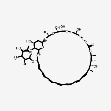 CC1OC(O[C@H]2/C=C/C=C/C=C/C=C/C=C/C=C/C=C/[C@H](C)[C@@H](O)[C@@H](C)[C@H](C)OC(=O)CCC[C@H](O)CC[C@@H](O)[C@H](O)C[C@H](O)C[C@]3(O)C[C@H](O)C(C(=O)O)[C@H](C2)O3)C(O)C(N)C1O